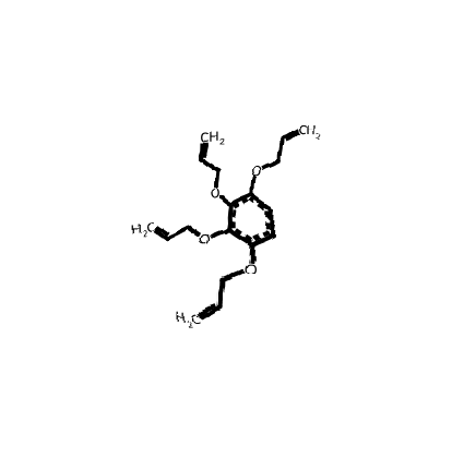 C=CCOc1ccc(OCC=C)c(OCC=C)c1OCC=C